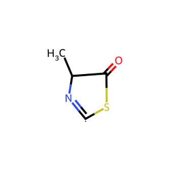 CC1N=[C]SC1=O